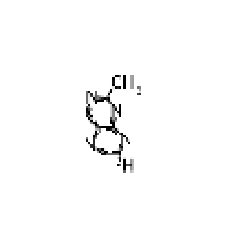 [2H]c1cnc2cnc(C)nc2n1